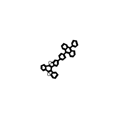 c1ccc(-c2c3ccccc3c(-c3ccc(-c4ccc5c(c4)oc4c6ccccc6c6oc7ccccc7c6c54)cc3)c3ccccc23)cc1